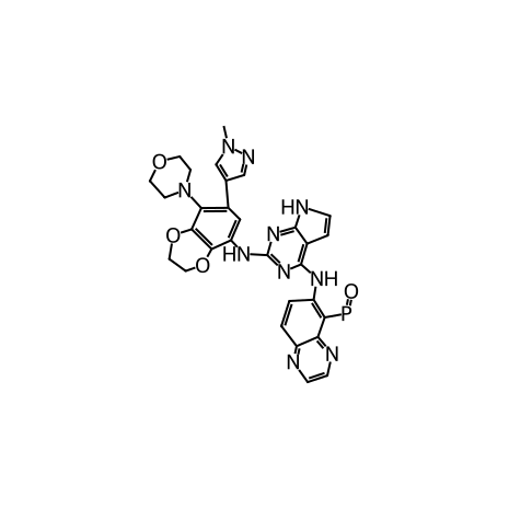 Cn1cc(-c2cc(Nc3nc(Nc4ccc5nccnc5c4P=O)c4cc[nH]c4n3)c3c(c2N2CCOCC2)OCCO3)cn1